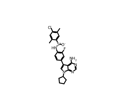 Cc1cc([S+]([O-])Nc2ccc(-c3cn(C4CCCC4)c4ncnc(N)c34)cc2F)c(C)cc1Cl